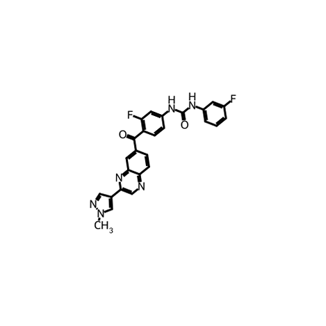 Cn1cc(-c2cnc3ccc(C(=O)c4ccc(NC(=O)Nc5cccc(F)c5)cc4F)cc3n2)cn1